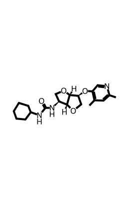 Cc1cc(C)c(O[C@H]2CO[C@H]3[C@@H]2OC[C@@H]3NC(=O)NC2CCCCC2)cn1